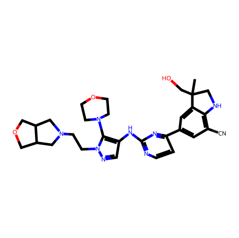 CC1(CO)CNc2c(C#N)cc(-c3ccnc(Nc4cnn(CCN5CC6COCC6C5)c4N4CCOCC4)n3)cc21